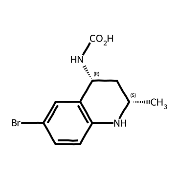 C[C@H]1C[C@@H](NC(=O)O)c2cc(Br)ccc2N1